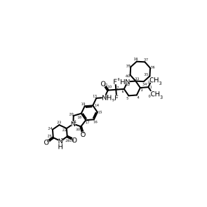 CC(C)C1CCC(C(F)(F)C(=O)NCc2ccc3c(c2)CN(C2CCC(=O)NC2=O)C3=O)NC12CCCCCCC2